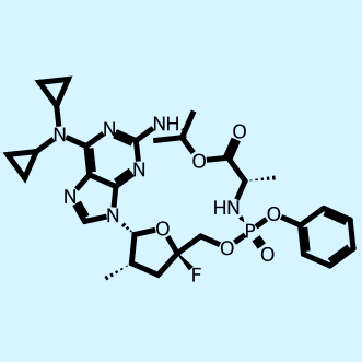 CC(C)OC(=O)[C@H](C)N[P@](=O)(OC[C@]1(F)C[C@H](C)[C@H](n2cnc3c(N(C4CC4)C4CC4)nc(N)nc32)O1)Oc1ccccc1